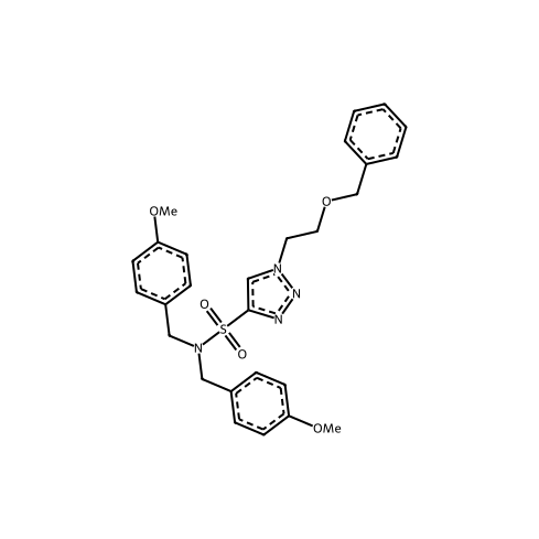 COc1ccc(CN(Cc2ccc(OC)cc2)S(=O)(=O)c2cn(CCOCc3ccccc3)nn2)cc1